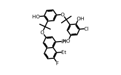 CCc1c(F)ccc2cc(OC(C)(C)c3cc(OC(C)(C)c4cc(O)cc(Cl)c4O)ccc3O)cc(C(C)C)c12